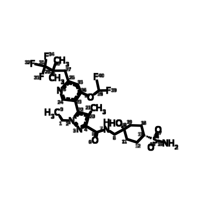 CCn1nc(C(=O)NC[C@]2(O)CC[C@@H](S(N)(=O)=O)CC2)c(C)c1-c1cnc(CC(C)(C)C(F)(F)F)cc1OC(F)F